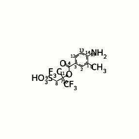 Cc1cc(C(=O)OC(CS(=O)(=O)O)(C(F)(F)F)C(F)(F)F)ccc1N